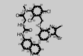 Cc1nc2c(OCc3c(Cl)ccc(N(C)C(=O)CNC(=O)Nc4ccc5ncccc5c4)c3Cl)cccn2c1Br